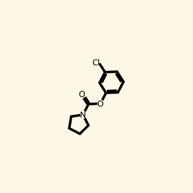 O=C(Oc1cccc(Cl)c1)N1CCCC1